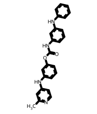 Cc1cc(Nc2cccc(OC(=O)Nc3cccc(Nc4ccccc4)c3)c2)ccn1